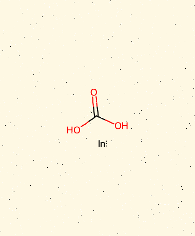 O=C(O)O.[In]